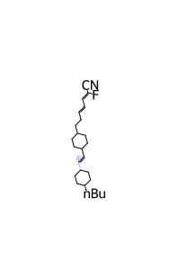 CCCC[C@H]1CC[C@H](/C=C/C2CCC(CCC=CC=C(F)C#N)CC2)CC1